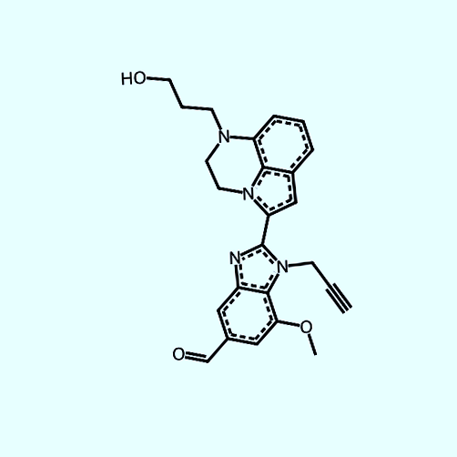 C#CCn1c(-c2cc3cccc4c3n2CCN4CCCO)nc2cc(C=O)cc(OC)c21